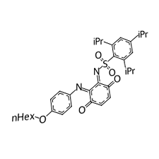 CCCCCCOc1ccc(N=c2c(=O)ccc(=O)c2=NS(=O)(=O)c2c(C(C)C)cc(C(C)C)cc2C(C)C)cc1